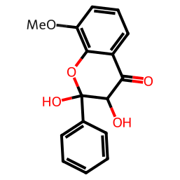 COc1cccc2c1OC(O)(c1ccccc1)C(O)C2=O